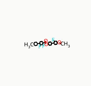 CCOc1ccc(-c2ccc(OC(=O)c3ccc(C4CCC(C)CC4)c(F)c3F)cc2)c(F)c1